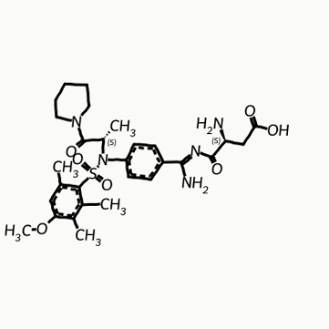 COc1cc(C)c(S(=O)(=O)N(c2ccc(C(N)=NC(=O)[C@@H](N)CC(=O)O)cc2)[C@@H](C)C(=O)N2CCCCC2)c(C)c1C